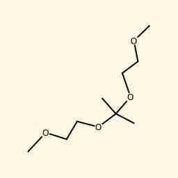 COCCOC(C)(C)OCCOC